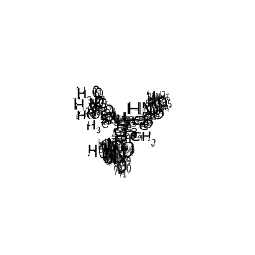 COCCOCCOCCN(CC(C)(C)SSCCC(C(N)=O)S(=O)(=O)O)c1cc(COc2cc3c(cc2OC)C(=O)N2c4ccccc4C[C@H]2CN3)cc(COc2cc3c(cc2OC)C(=O)N2c4ccccc4C[C@H]2C(S(=O)(=O)O)N3)c1